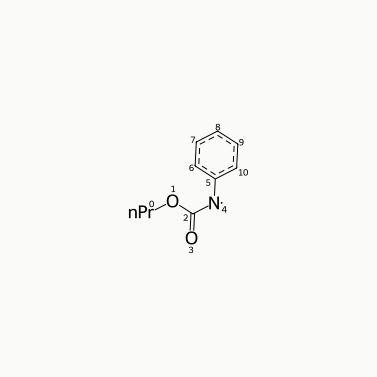 CCCOC(=O)[N]c1ccccc1